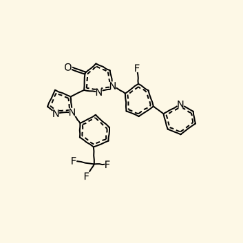 O=c1ccn(-c2ccc(-c3ccccn3)cc2F)nc1-c1ccnn1-c1cccc(C(F)(F)F)c1